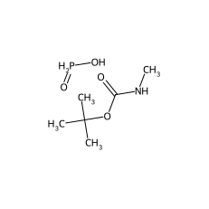 CNC(=O)OC(C)(C)C.O=[PH2]O